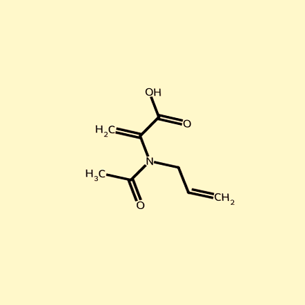 C=CCN(C(=C)C(=O)O)C(C)=O